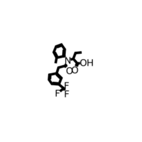 CCC(C(=O)O)N(C(=O)Cc1cccc(C(F)(F)F)c1)c1ccccc1C